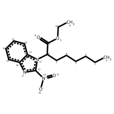 CCCCCCC(C(=O)OCC)n1c([N+](=O)[O-])nc2ccccc21